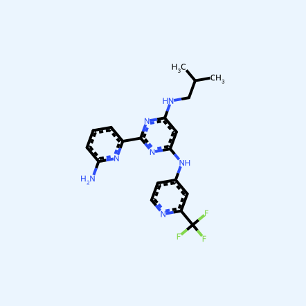 CC(C)CNc1cc(Nc2ccnc(C(F)(F)F)c2)nc(-c2cccc(N)n2)n1